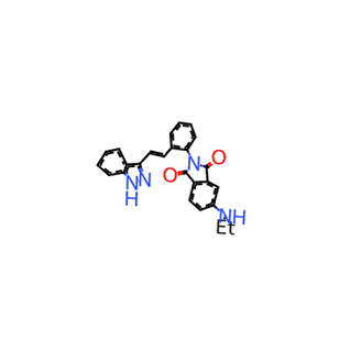 CCNc1ccc2c(c1)C(=O)N(c1ccccc1C=Cc1n[nH]c3ccccc13)C2=O